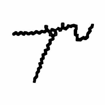 CCCCC/C=C\C/C=C\C/C=C\C/C=C\CCCC(=O)OC[C@@H](COC(=O)CCCCCCCCCCCCC)OC(=O)CCCCCCCCCCCCCCCCCCC